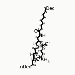 CCCCCCCCCCCCCCCCCC(=O)NCC(COCCCCCCCCCCCCCCCC)OP(=O)([O-])OCC[N+](C)(C)C